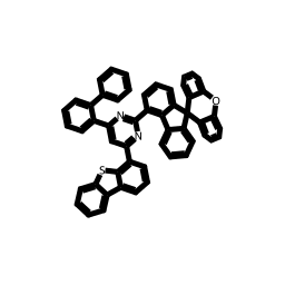 c1ccc(-c2ccccc2-c2cc(-c3cccc4c3sc3ccccc34)nc(-c3cccc4c3-c3ccccc3C43c4ccccc4Oc4ccccc43)n2)cc1